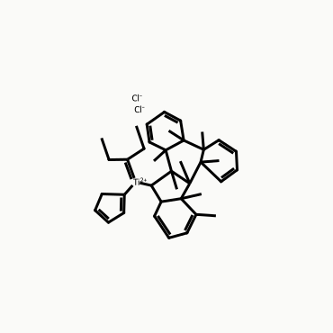 CC[C](CC)=[Ti+2]([C]1=CC=CC1)[CH]1C2C=CC=C(C)C2(C)C2(C)C3(C)C=CC=CC3(C)C3(C)C=CC=CC3(C)C12C.[Cl-].[Cl-]